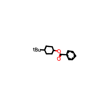 CC(C)(C)C1CCC(OC(=O)c2ccccc2)CC1